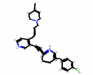 CC1CCN(C/C=C/c2ccncc2C#Cc2ccc(-c3ccc(Cl)cc3)cn2)CC1